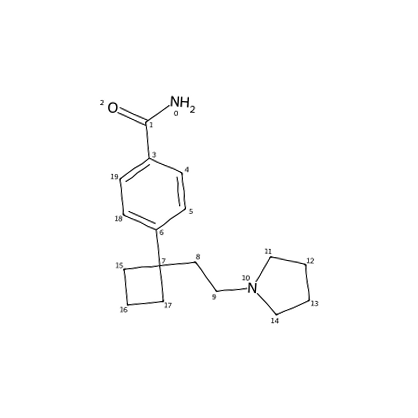 NC(=O)c1ccc(C2(CCN3CCCC3)CCC2)cc1